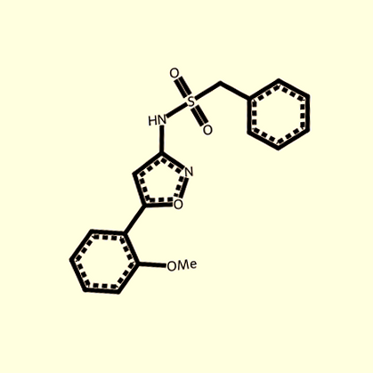 COc1ccccc1-c1cc(NS(=O)(=O)Cc2ccccc2)no1